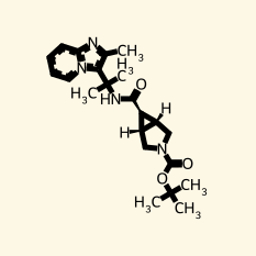 Cc1nc2ccccn2c1C(C)(C)NC(=O)[C@H]1[C@@H]2CN(C(=O)OC(C)(C)C)C[C@@H]21